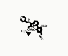 CCOCc1cc(OC)c(-c2cccc3c(NCC4CCOCC4)c(COC)nn23)c(OC)c1.NC1CC1